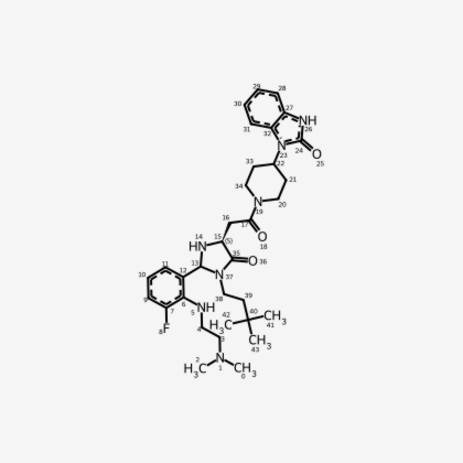 CN(C)CCNc1c(F)cccc1C1N[C@@H](CC(=O)N2CCC(n3c(=O)[nH]c4ccccc43)CC2)C(=O)N1CCC(C)(C)C